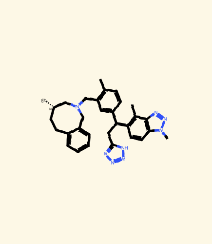 CC[C@H]1CCc2ccccc2CN(Cc2cc(C(Cc3nnn[nH]3)c3ccc4c(nnn4C)c3C)ccc2C)C1